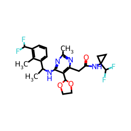 Cc1nc(CC(=O)NC2(C(F)F)CC2)c(C2OCCO2)c(NC(C)c2cccc(C(F)F)c2C)n1